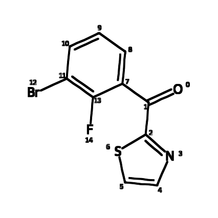 O=C(c1nccs1)c1cccc(Br)c1F